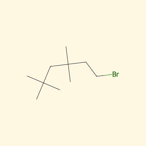 CC(C)(C)CC(C)(C)CCBr